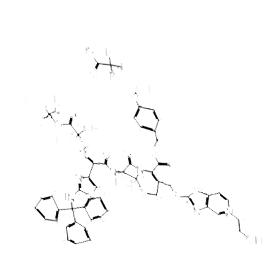 COc1ccc(COC(=O)C2=C(CSc3nc4c[n+](CCO)ccc4s3)CS[C@H]3C(NC(=O)/C(=N\OC(C)(C)C(=O)OC(C)(C)C)c4csc(NC(c5ccccc5)(c5ccccc5)c5ccccc5)n4)C(=O)N23)cc1.O=C([O-])C(F)(F)F